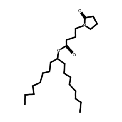 CCCCCCCCC(CCCCCCCC)OC(=O)CCCN1CCCC1=O